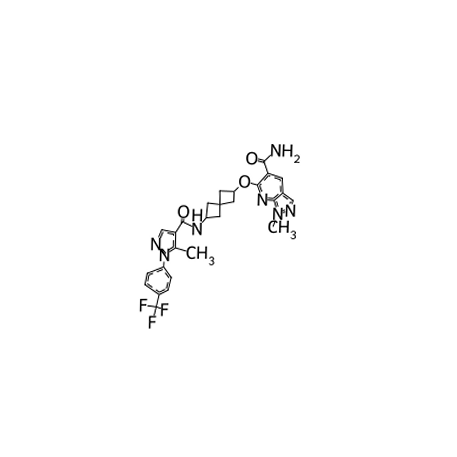 Cc1c(C(=O)NC2CC3(C2)CC(Oc2nc4c(cnn4C)cc2C(N)=O)C3)cnn1-c1ccc(C(F)(F)F)cc1